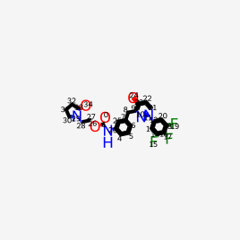 O=C(Nc1cccc(Cc2nn(-c3cc(F)c(F)c(F)c3)ccc2=O)c1)OCCN1CCCC1=O